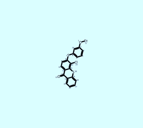 CCOc1cccc(Sc2ccc3c(=O)c4ccccc4sc3c2Cl)c1